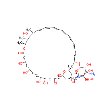 C[C@@H]1[C@H](O)[C@@H](C)/C=C/C=C/C=C/C=C/C=C/C=C/C=C/[C@H](O[C@@H]2O[C@H](C)[C@@H](O)[C@H](N)[C@H]2O)C[C@@H]2O[C@](O)(C[C@@H](O)C[C@@H](O)[C@H](O)CC[C@@H](O)C[C@@H](O)CC(=O)O[C@H]1C)C[C@H](O)[C@H]2C(=O)NC(CO)CO